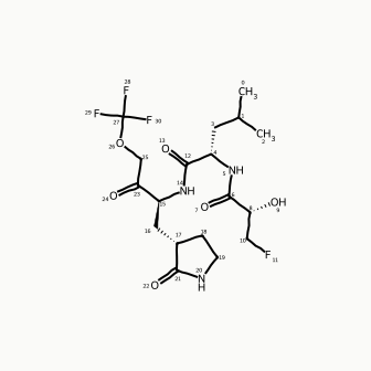 CC(C)C[C@H](NC(=O)[C@H](O)CF)C(=O)N[C@@H](C[C@@H]1CCNC1=O)C(=O)COC(F)(F)F